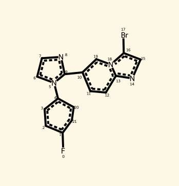 Fc1ccc(-n2ccnc2-c2ccc3ncc(Br)n3c2)cc1